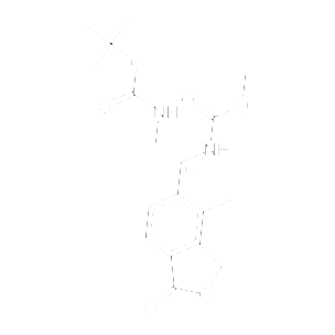 COC(=O)N[C@@H](CNC(=O)OC(C)(C)C)c1ccc2c(c1C)COC2=O